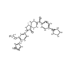 COc1cc(N2CCC3(CCN(C(=O)c4ccc(N5CCCC5)cn4)CC3)C2=O)ccc1-c1cn[nH]c1